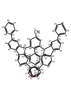 N#Cc1cc(-n2c3cc(-c4ccccc4)ccc3c3ccc(-c4ccccc4)cc32)c(-c2c(F)cccc2F)c(-n2c3cc(-c4ccccc4)ccc3c3ccc(-c4ccccc4)cc32)c1